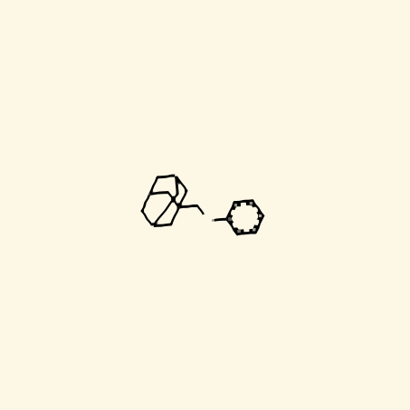 [c]1ccc(OCC23CC4CC(CC(C4)C2)C3)cc1